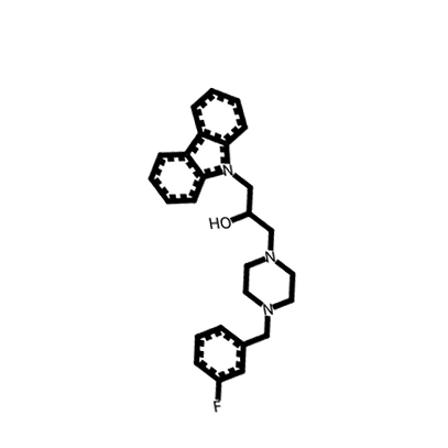 OC(CN1CCN(Cc2cccc(F)c2)CC1)Cn1c2ccccc2c2ccccc21